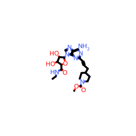 CCNC(=O)C1OC(n2cnc3c(N)nc(C#CCC4CCN(C(=O)OC)CC4)nc32)C(O)C1O